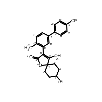 CCC1CCC2(CC1)OC(=O)C(c1cc(-c3ccc(Cl)cc3)ccc1C)=C2O